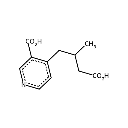 CC(CC(=O)O)Cc1ccncc1C(=O)O